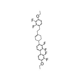 CCOc1ccc(CCC2=CCC(c3ccc(-c4ccc(OCC)c(F)c4F)c(F)c3F)CC2)c(F)c1F